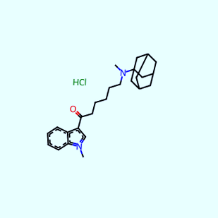 CN(CCCCCC(=O)c1cn(C)c2ccccc12)C12CC3CC(CC(C3)C1)C2.Cl